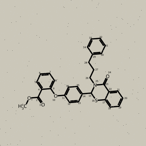 COC(=O)c1ccccc1Oc1ccc(C2Sc3ccccc3C(=O)N2CCCc2ccccc2)cc1